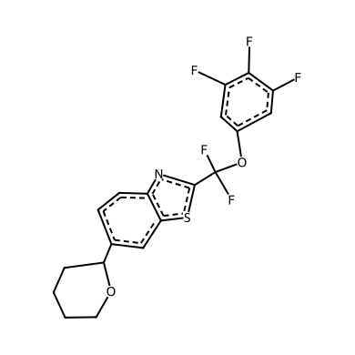 Fc1cc(OC(F)(F)c2nc3ccc(C4CCCCO4)cc3s2)cc(F)c1F